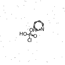 O=P(O)(O)Cl.c1ccncc1